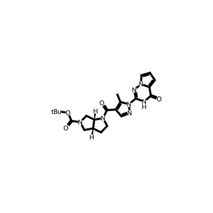 Cc1c(C(=O)N2CC[C@@H]3CN(C(=O)OC(C)(C)C)C[C@@H]32)cnn1-c1nn2cccc2c(=O)[nH]1